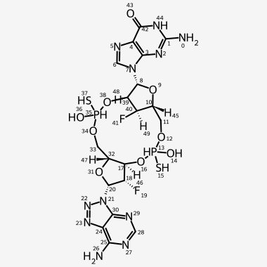 Nc1nc2c(ncn2[C@@H]2O[C@@H]3CO[PH](O)(S)O[C@H]4[C@H](F)[C@H](n5nnc6c(N)ncnc65)O[C@@H]4CO[PH](O)(S)O[C@@H]2[C@@H]3F)c(=O)[nH]1